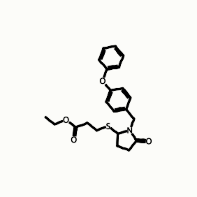 CCOC(=O)CCSC1CCC(=O)N1Cc1ccc(Oc2ccccc2)cc1